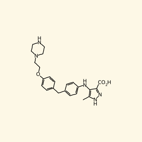 Cc1[nH]nc(C(=O)O)c1Nc1ccc(Cc2ccc(OCCN3CCNCC3)cc2)cc1